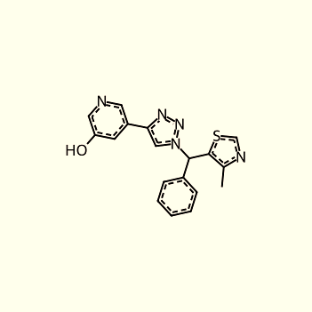 Cc1ncsc1C(c1ccccc1)n1cc(-c2cncc(O)c2)nn1